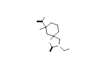 COC(=O)C1(C)CCCC2(CN(CC(C)(C)C)C(=O)O2)C1